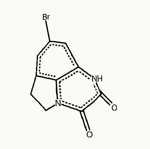 O=c1[nH]c2cc(Br)cc3c2n(c1=O)CC3